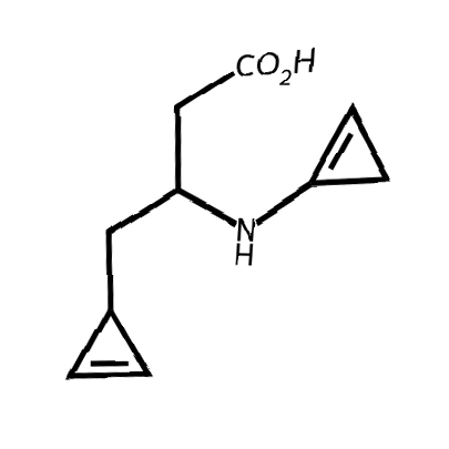 O=C(O)CC(CC1C=C1)NC1=CC1